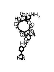 CC[C@H]1OC(=O)[C@@](C)(F)C(=O)[C@H](C)[C@@H](O[C@@H]2O[C@H](CNCc3cccc(-c4cncnc4)c3)CC(N(C)C)C2O)[C@](C)(OC)C[C@@H](C)C(=O)[C@H](C)[C@H]2NC(=O)O[C@@]21n1ccc(N)nc1=O